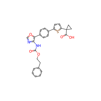 O=C(Nc1ncoc1-c1ccc(-c2ccc(C3(C(=O)O)CC3)s2)cc1)OCCc1ccccc1